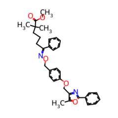 COC(=O)C(C)(C)CCCC(=NOCc1ccc(OCc2nc(-c3ccccc3)oc2C)cc1)c1ccccc1